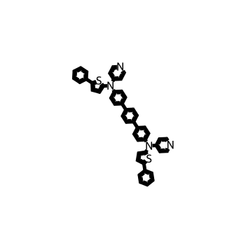 c1ccc(-c2ccc(N(c3ccncc3)c3ccc(-c4ccc(-c5ccc(N(c6ccncc6)c6ccc(-c7ccccc7)s6)cc5)cc4)cc3)s2)cc1